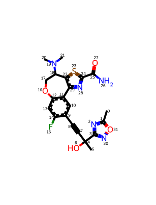 Cc1nc(C(C)(O)C#Cc2cc3c(cc2F)OCC(N(C)C)c2sc(C(N)=O)nc2-3)no1